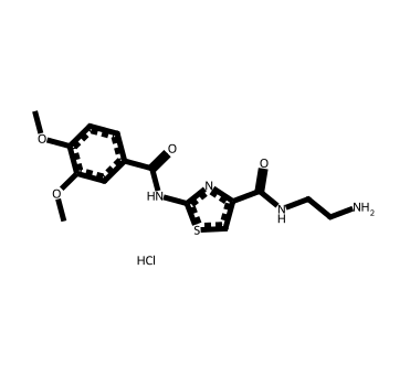 COc1ccc(C(=O)Nc2nc(C(=O)NCCN)cs2)cc1OC.Cl